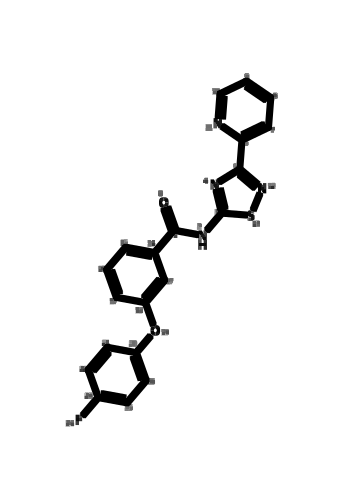 O=C(Nc1nc(-c2ccccn2)ns1)c1cccc(Oc2ccc(F)cc2)c1